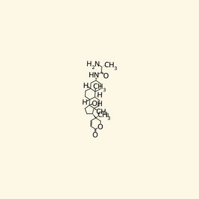 C[C@@H](N)C(=O)N[C@H]1CC[C@@]2(C)[C@H](CC[C@@H]3[C@@H]2CC[C@]2(C)[C@@H](C4(C)C=CC(=O)OC4)CC[C@]32O)C1